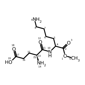 COC(=O)C(CCCCN)NC(=O)[C@@H](N)CCC(=O)O